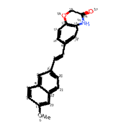 COc1ccc2cc(/C=C/c3ccc4c(c3)NC(=O)CO4)ccc2c1